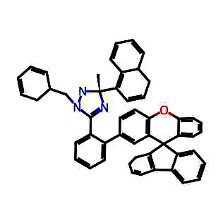 C[C@@]1(C2=C3C=CC=CC3CC=C2)N=C(c2ccccc2-c2ccc3c(c2)C2(C4=C(C=CCC4)c4ccccc42)c2ccccc2O3)N2C(C3C=CC=CC3)[N@]21